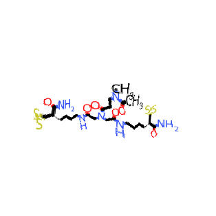 CC(=O)N(C)CCC(=O)N(CC(=O)NCCCC[C@@H](C(N)=O)C1SS1)CC(=O)NCCCC[C@@H](C(N)=O)C1SS1